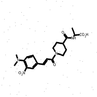 CC(NC(=O)C1CCN(C(=O)C=Cc2ccc(N(C)C)c([N+](=O)[O-])c2)CC1)C(=O)O